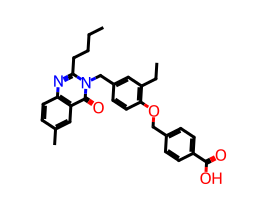 CCCCc1nc2ccc(C)cc2c(=O)n1Cc1ccc(OCc2ccc(C(=O)O)cc2)c(CC)c1